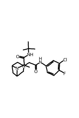 CC(C(=O)NC(C)(C)C)N1C2CC1CN(CC(=O)Nc1ccc(F)c(Cl)c1)C2